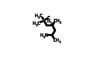 CC(N)CC(C)C[Si](C)(C)C